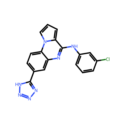 Clc1cccc(Nc2nc3cc(-c4nnn[nH]4)ccc3n3cccc23)c1